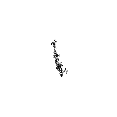 C[C@H](N(Cc1ccc(F)cc1)C(=O)CN1C(=O)OC2(CCc3cc(NC(=O)CCC(=O)NCCOCCOCCOCC(=O)C4CCC4)ccc32)C1=O)C(F)(F)F